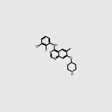 [CH2]c1cc2c(Nc3cccc(Cl)c3F)ncnc2cc1OC1CCNCC1